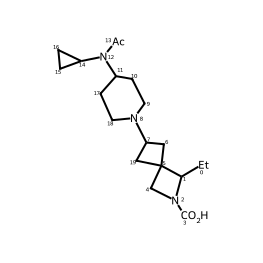 CCC1N(C(=O)O)CC12CC(N1CCC(N(C(C)=O)C3CC3)CC1)C2